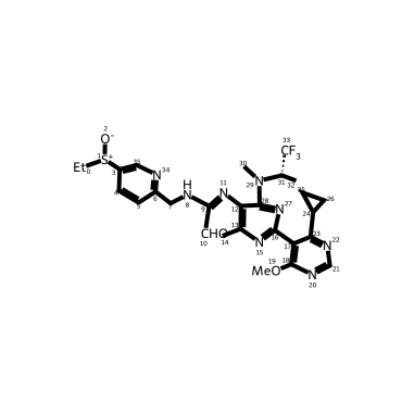 CC[S+]([O-])c1ccc(CN/C(C=O)=N/c2c(C)nc(-c3c(OC)ncnc3C3CC3)nc2N(C)[C@@H](C)C(F)(F)F)nc1